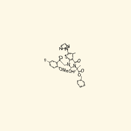 COc1ccc(F)cc1C(=O)CN1c2sc(-n3nccn3)c(C)c2C(=O)N(C(C)(C)C(=O)OCc2ccccc2)C1O